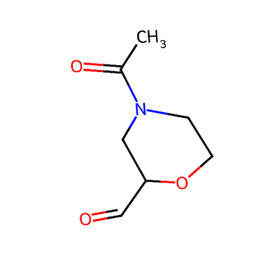 CC(=O)N1CCOC(C=O)C1